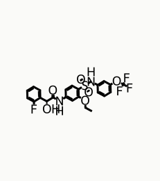 CCOc1cc(NC(=O)[C@@H](O)c2ccccc2F)ccc1S(=O)(=O)Nc1cccc(OC(F)(F)F)c1